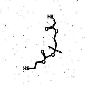 CC(C)(CCOC(=O)CS)OC(=O)OCCS